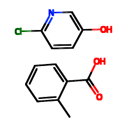 Cc1ccccc1C(=O)O.Oc1ccc(Cl)nc1